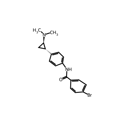 CN(C)[C@@H]1C[C@H]1c1ccc(NC(=O)c2ccc(Br)cc2)cc1